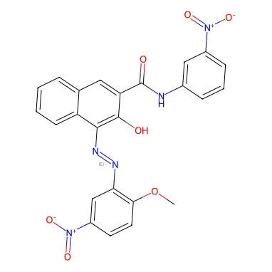 COc1ccc([N+](=O)[O-])cc1/N=N/c1c(O)c(C(=O)Nc2cccc([N+](=O)[O-])c2)cc2ccccc12